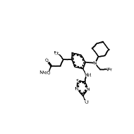 CCC(CC(=O)OC)c1ccc(N(CC(C)C)C2CCCCC2)c(Nc2nc(Cl)ns2)c1